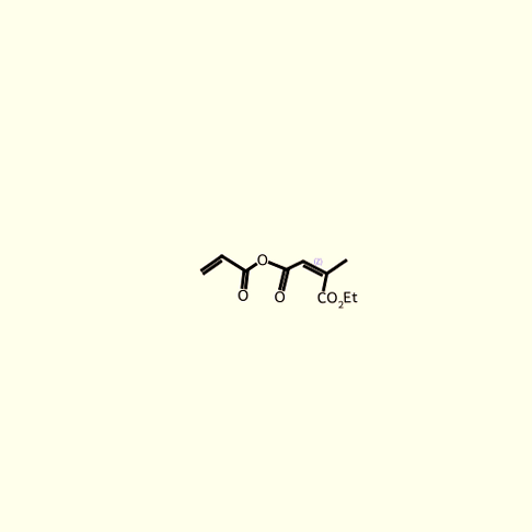 C=CC(=O)OC(=O)/C=C(/C)C(=O)OCC